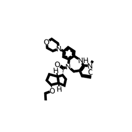 CCO[C@@H]1CC[C@H]2[C@@H]1CC[C@H]2C(=O)N1CC2=C(Nc3ccc(N4CCOCC4)cc31)N(C)CC=C2